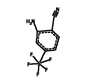 N#Cc1ccc(S(F)(F)(F)(F)F)cc1N